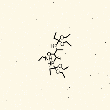 CCNOC(C(C)PC(CC)(OCC)OCC)C(C)PC(CC)(OCC)OCC